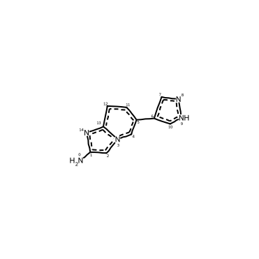 Nc1cn2cc(-c3cn[nH]c3)ccc2n1